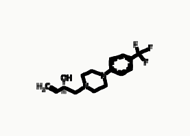 C=C[C@H](O)CN1CCN(c2ccc(C(F)(F)F)cc2)CC1